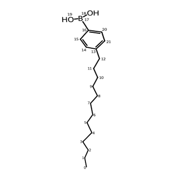 CCCCCCCCCCCCCc1ccc(B(O)O)cc1